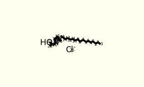 CCCCCCCCCCCCCCCCn1cc[n+](CC(C)O)c1.[Cl-]